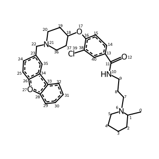 CC1CCCCN1CCCNC(=O)c1ccc(OC2CCN(Cc3ccc4oc5ccccc5c4c3)CC2)c(Cl)c1